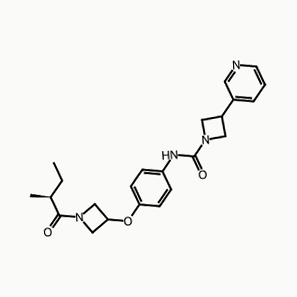 CC[C@H](C)C(=O)N1CC(Oc2ccc(NC(=O)N3CC(c4cccnc4)C3)cc2)C1